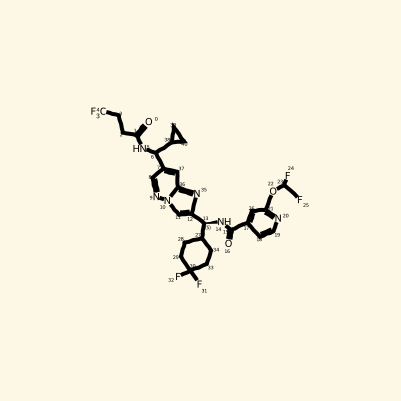 O=C(CCC(F)(F)F)NC(c1cnn2cc([C@@H](NC(=O)c3ccnc(OC(F)F)c3)C3CCC(F)(F)CC3)nc2c1)C1CC1